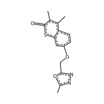 Cc1nnc(COc2ccc3c(C)c(C)c(=O)sc3c2)o1